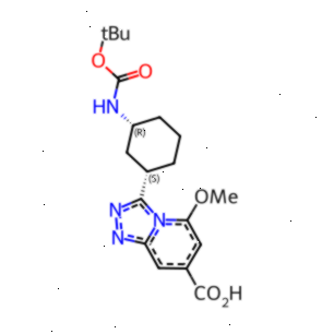 COc1cc(C(=O)O)cc2nnc([C@H]3CCC[C@@H](NC(=O)OC(C)(C)C)C3)n12